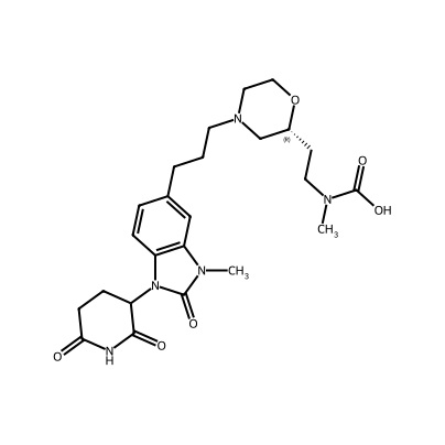 CN(CC[C@@H]1CN(CCCc2ccc3c(c2)n(C)c(=O)n3C2CCC(=O)NC2=O)CCO1)C(=O)O